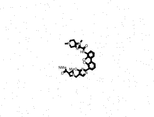 CNC(=O)C1CN(Cc2cnc(-c3cccc(-c4cccc(NC(=O)c5nc6c(n5C)CCN(C)C6)c4Cl)c3Cl)nc2OC)C1